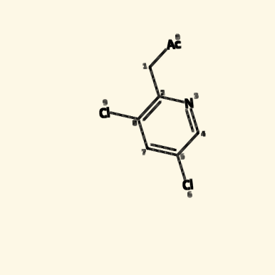 CC(=O)Cc1ncc(Cl)cc1Cl